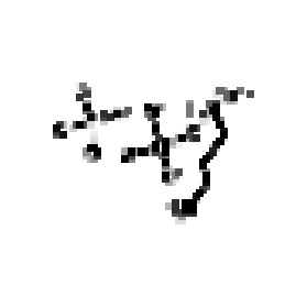 NCCCN.[Cu+2].[O-][Cl+3]([O-])([O-])[O-].[O-][Cl+3]([O-])([O-])[O-]